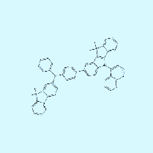 CC1(C)c2ccccc2-c2ccc(N(c3ccccc3)c3ccc(-c4ccc5c(c4)c4c(n5-c5cccc6ccccc56)-c5ccccc5C4(C)C)cc3)cc21